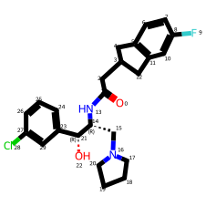 O=C(CC1Cc2ccc(F)cc2C1)N[C@H](CN1CCCC1)[C@H](O)c1cccc(Cl)c1